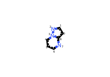 [c]1cnn2cccnc12